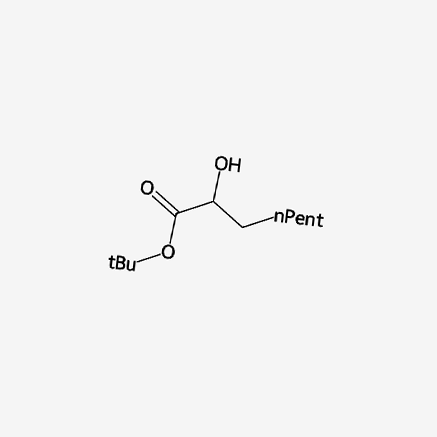 CCCCCCC(O)C(=O)OC(C)(C)C